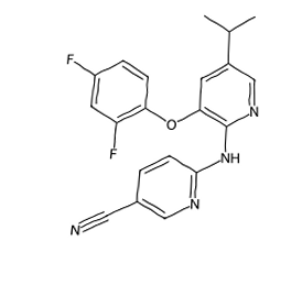 CC(C)c1cnc(Nc2ccc(C#N)cn2)c(Oc2ccc(F)cc2F)c1